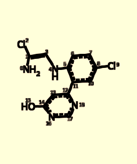 N/C(Cl)=C\Nc1ccc(Cl)cc1-c1cc(O)ncn1